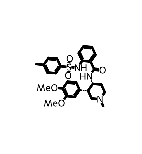 COc1ccc([C@H]2CN(C)CC[C@H]2NC(=O)c2ccccc2NS(=O)(=O)c2ccc(C)cc2)cc1OC